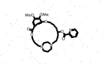 COc1cc2cc(c1OC)OCCCC(OC(=O)c1ccccn1)CCN1CCCN(CCCOC2=O)CC1